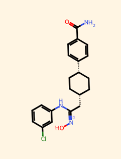 NC(=O)c1ccc([C@H]2CC[C@@H](C/C(=N/O)Nc3cccc(Cl)c3)CC2)cc1